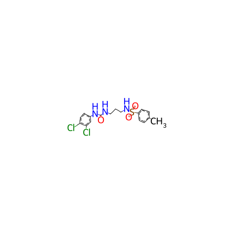 Cc1ccc(S(=O)(=O)NCCCNC(=O)Nc2ccc(Cl)c(Cl)c2)cc1